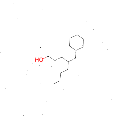 CCCCC(CCCO)CC1CCCCC1